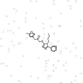 CCCCC1C(SCC(=O)Cc2cc(C)on2)=NN=C1c1cccnc1